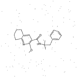 COc1nc2c(cc1C(=O)NC(C)(C)Cc1ccccc1)CCCC2